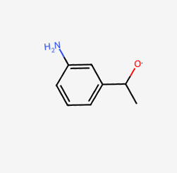 CC([O])c1cccc(N)c1